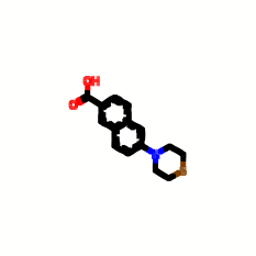 O=C(O)c1ccc2cc(N3CCSCC3)ccc2c1